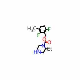 CC[C@@H]1CNCCN1C(=O)OCc1c(F)ccc(C)c1F